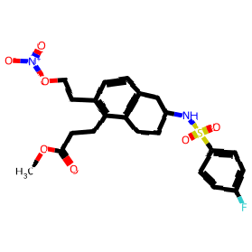 COC(=O)CCc1c(CCO[N+](=O)[O-])ccc2c1CCC(NS(=O)(=O)c1ccc(F)cc1)C2